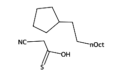 CCCCCCCCCCC1CCCC1.N#CCC(O)=S